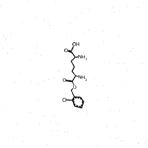 NC(CCCC(N)C(=O)OCc1ccccc1Cl)C(=O)O